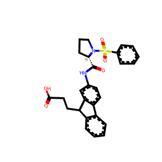 O=C(O)CCC1c2ccccc2-c2ccc(NC(=O)[C@@H]3CCCN3S(=O)(=O)c3ccccc3)cc21